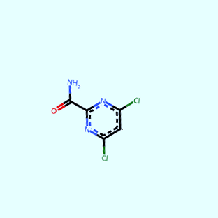 NC(=O)c1nc(Cl)[c]c(Cl)n1